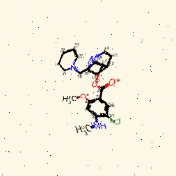 CNc1cc(OC)c(C(=O)OC2C3CCN(CC3)C2CN2CCCCC2)cc1Cl